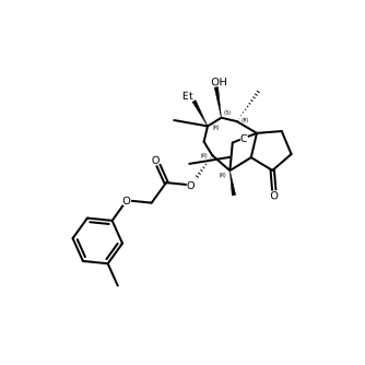 CC[C@]1(C)C[C@@H](OC(=O)COc2cccc(C)c2)[C@]2(C)C(C)CCC3(CCC(=O)C32)[C@@H](C)[C@@H]1O